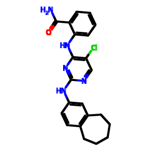 NC(=O)c1ccccc1Nc1nc(Nc2ccc3c(c2)CCCCC3)ncc1Cl